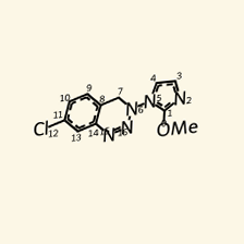 COc1nccn1N1Cc2ccc(Cl)cc2N=N1